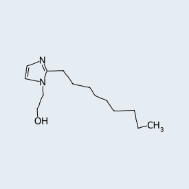 CCCCCCCCCc1nccn1CCO